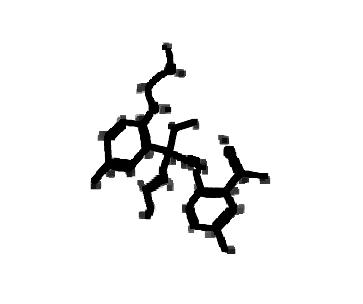 CCCC(CC)(Pc1ccc(C)cc1C(C)=O)c1cc(C)ccc1OCOC